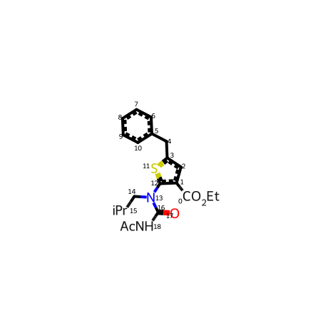 CCOC(=O)c1cc(Cc2ccccc2)sc1N(CC(C)C)C(=O)NC(C)=O